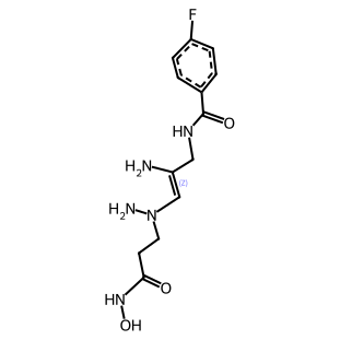 N/C(=C\N(N)CCC(=O)NO)CNC(=O)c1ccc(F)cc1